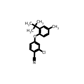 Cc1ccc(Oc2ccc(C#N)c(Cl)c2)c(C(C)(C)C)c1